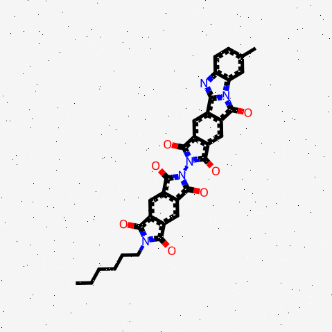 CCCCCCn1c(=O)c2cc3c(=O)n(-n4c(=O)c5cc6c(=O)n7c8cc(C)ccc8nc7c6cc5c4=O)c(=O)c3cc2c1=O